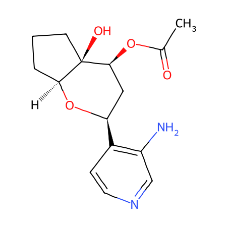 CC(=O)O[C@H]1C[C@@H](c2ccncc2N)O[C@H]2CCC[C@]12O